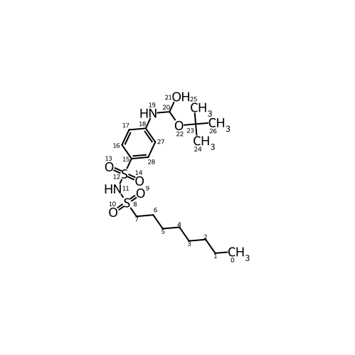 CCCCCCCCS(=O)(=O)NS(=O)(=O)c1ccc(NC(O)OC(C)(C)C)cc1